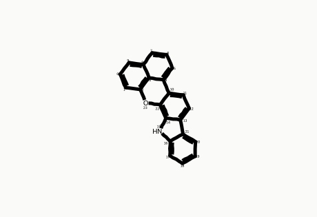 c1cc2c3c(cccc3c1)-c1ccc3c([nH]c4ccccc43)c1O2